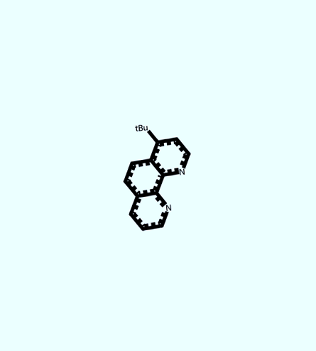 CC(C)(C)c1ccnc2c1ccc1cccnc12